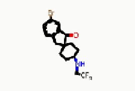 O=C1c2cc(Br)ccc2CC12CCC(NCC(F)(F)F)CC2